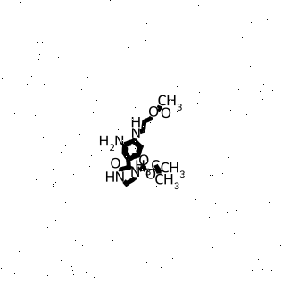 CC(=O)OCCCNc1ccc(C2C(=O)NCCN2C(=O)OC(C)(C)C)cc1N